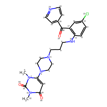 Cn1c(N2CCN(CCCNc3ccc(Cl)cc3C(=O)c3ccncc3)CC2)cc(=O)n(C)c1=O